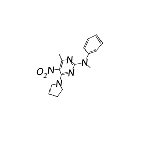 Cc1nc(N(C)c2ccccc2)nc(N2CCCC2)c1[N+](=O)[O-]